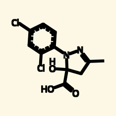 CC1=NN(c2ccc(Cl)cc2Cl)C(O)(C(=O)O)C1